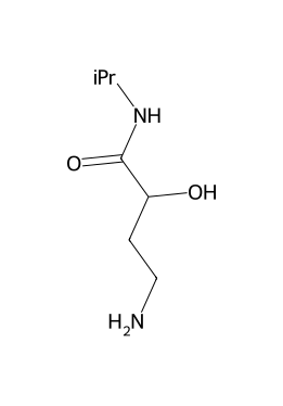 CC(C)NC(=O)C(O)CCN